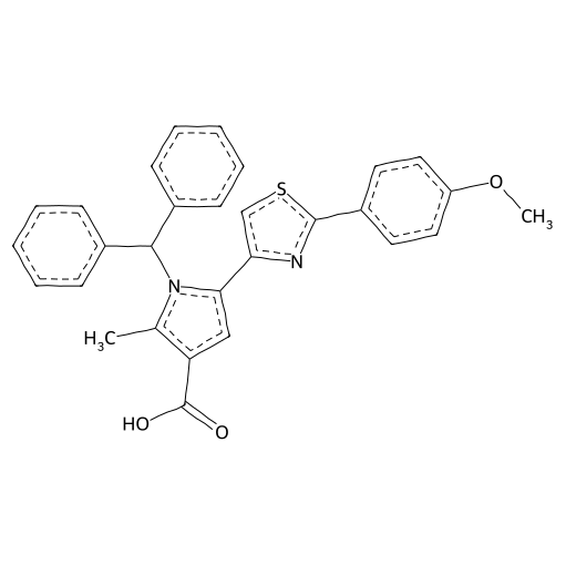 COc1ccc(-c2nc(-c3cc(C(=O)O)c(C)n3C(c3ccccc3)c3ccccc3)cs2)cc1